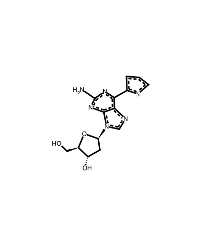 Nc1nc(-c2cccs2)c2ncn([C@H]3C[C@H](O)[C@@H](CO)O3)c2n1